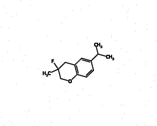 CC(C)c1ccc2c(c1)CC(C)(F)CO2